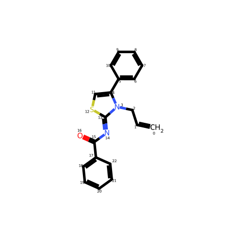 C=CCn1c(-c2ccccc2)csc1=NC(=O)c1ccccc1